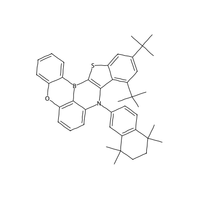 CC(C)(C)c1cc(C(C)(C)C)c2c3c(sc2c1)B1c2ccccc2Oc2cccc(c21)N3c1ccc2c(c1)C(C)(C)CCC2(C)C